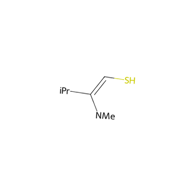 CN/C(=C\S)C(C)C